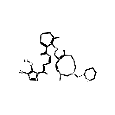 C=C(/C=C\C=C(/C)n1ncc(C(C)=O)c1OCC)C1=CCCCC(C)=C1OCC1=C(\C)CCCN(C[C@@H]2CCCCO2)CC(C)/C=C\1